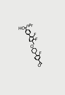 CCCC(O)c1ccc(-c2ccc(COC3CCC(c4ccc(C5CO5)cc4F)CC3)c(F)c2F)cc1